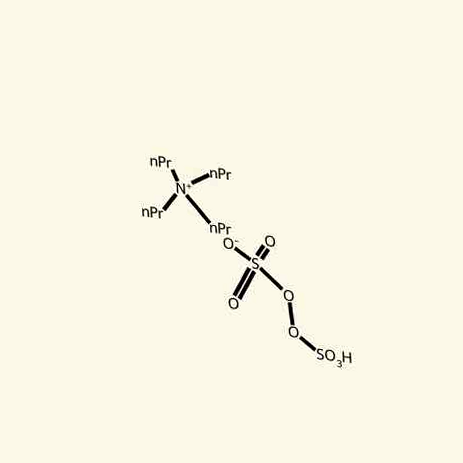 CCC[N+](CCC)(CCC)CCC.O=S(=O)([O-])OOS(=O)(=O)O